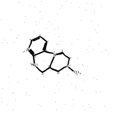 CN1CCN2c3cccnc3NCC2C1